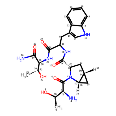 C[C@@H](O)[C@H](N)C(=O)N1[C@H](C(=O)NC(Cc2c[nH]c3ccccc23)C(=O)N[C@H](C(N)=O)[C@@H](C)O)C[C@@H]2C[C@@H]21